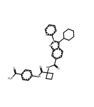 NC(=O)c1ccc(NC(=O)C2(NC(=O)c3ccc4c(C5CCCCC5)n(-c5ccccn5)nc4c3)CCC2)cc1